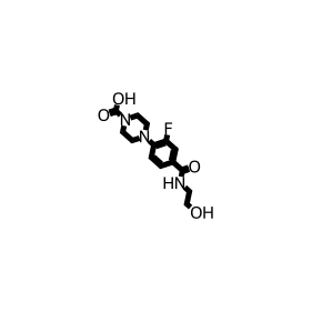 O=C(NCCO)c1ccc(N2CCN(C(=O)O)CC2)c(F)c1